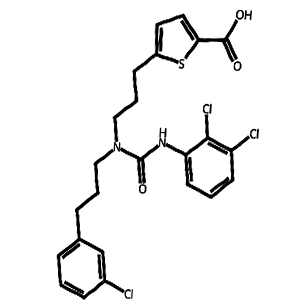 O=C(O)c1ccc(CCCN(CCCc2cccc(Cl)c2)C(=O)Nc2cccc(Cl)c2Cl)s1